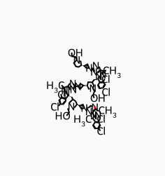 Cc1nn([C@H](CC2C[C@H](C3CN(c4ncc5c(C)nn([C@H](CC6C[C@@H](C7CN(c8cnc9c(C)nn([C@H](C)c%10ccc(Cl)cc%10Cl)c9n8)C7)CN(CCO)C6)c6ccc(Cl)cc6Cl)c5n4)C3)CN(CCO)C2)c2ccc(Cl)cc2Cl)c2nc(N3CC([C@@H]4CCCN(CCO)C4)C3)ncc12